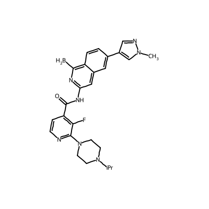 Bc1nc(NC(=O)c2ccnc(N3CCN(C(C)C)CC3)c2F)cc2cc(-c3cnn(C)c3)ccc12